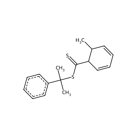 CC1C=CC=CC1C(=S)SC(C)(C)c1ccccc1